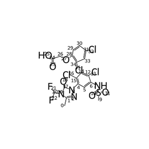 Cc1nn(-c2cc(NS(C)(=O)=O)c(Cl)cc2Cl)c(=O)n1C(F)F.O=C(O)COc1ccc(Cl)cc1Cl